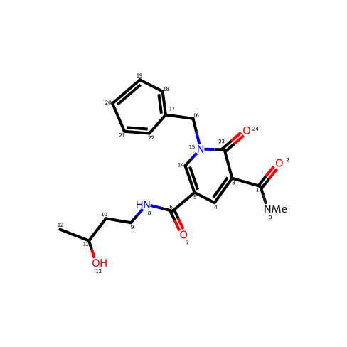 CNC(=O)c1cc(C(=O)NCCC(C)O)cn(Cc2ccccc2)c1=O